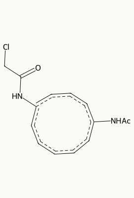 CC(=O)Nc1cccccc(NC(=O)CCl)ccc1